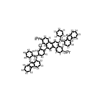 CC(C)c1ccc2c(c1)c(N(c1ccccc1)c1cccc3c1sc1ccccc13)cc1c3ccc(C(C)C)c4c3c(cc21)-c1ccc(N(c2ccccc2)c2cccc3c2sc2ccccc23)cc1O4